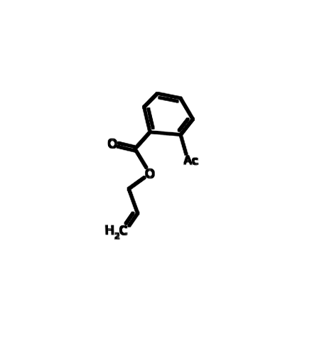 C=CCOC(=O)c1ccccc1C(C)=O